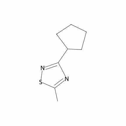 Cc1nc(C2CCCC2)ns1